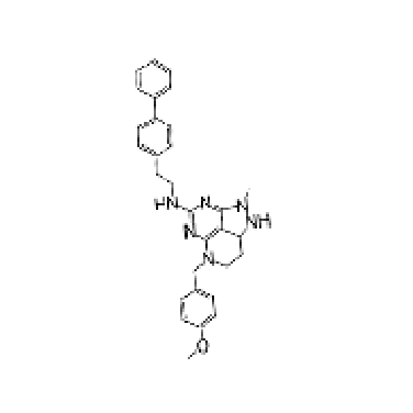 COc1ccc(CN2CCC3NN(C)c4nc(NCCc5ccc(-c6ccccc6)cc5)nc2c43)cc1